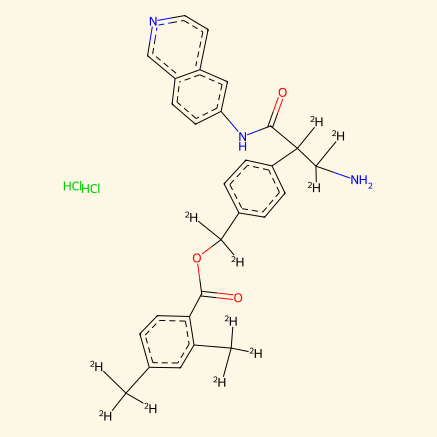 Cl.Cl.[2H]C([2H])([2H])c1ccc(C(=O)OC([2H])([2H])c2ccc(C([2H])(C(=O)Nc3ccc4cnccc4c3)C([2H])([2H])N)cc2)c(C([2H])([2H])[2H])c1